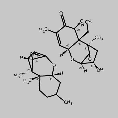 CC1=C[C@H]2O[C@@H]3[C@H](O)C[C@@](C)(C34CO4)[C@@]2(CO)[C@H](O)C1=O.CC1CC[C@@]2(C)[C@@H](C1)OC1=CC[C@@]2(C)[C@@H]1C